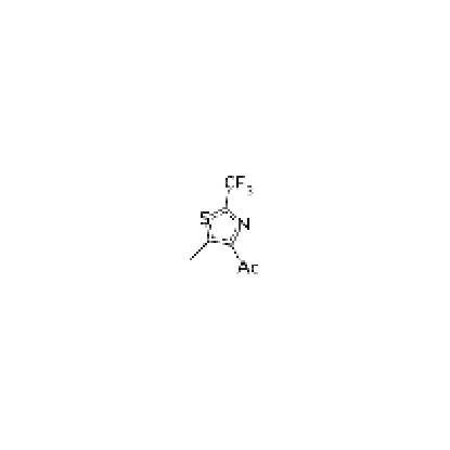 CC(=O)c1nc(C(F)(F)F)sc1C